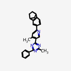 Cc1nc(-c2ccccc2)nc(-c2cnc(-c3ccc4c(c3)C3CCC4C3)cc2C)n1